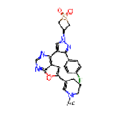 CC(=O)N1C=C(c2cc3c(-c4cn(C5CS(=O)(=O)C5)nc4-c4ccc(F)cc4)ncnc3o2)CCC1